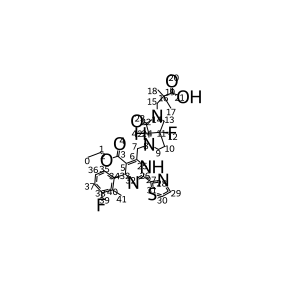 CCOC(=O)C1=C(CN2CC[C@@]3(F)CN(CC(C)(C)C(=O)O)C(=O)[C@@H]23)NC(c2nccs2)=N[C@H]1c1cccc(F)c1C